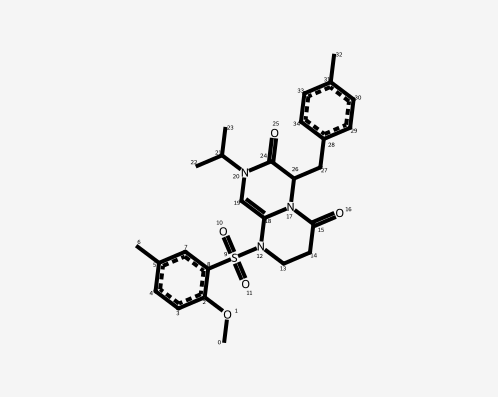 COc1ccc(C)cc1S(=O)(=O)N1CCC(=O)N2C1=CN(C(C)C)C(=O)C2Cc1ccc(C)cc1